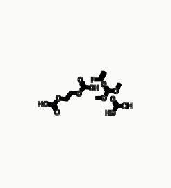 C=CF.COC(=O)OC.O=C(O)O.O=C(O)OCCOC(=O)O